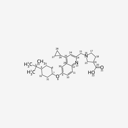 CC(C)(C)C1CCC(Oc2ccc3nc(CN4CCC(C(=O)O)C4)cc(C4CC4)c3c2)CC1